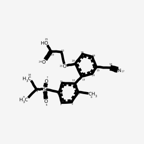 Cc1ccc(S(=O)(=O)C(C)C)cc1-c1cc(C#N)ccc1OCC(=O)O